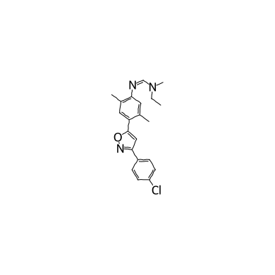 CCN(C)/C=N\c1cc(C)c(-c2cc(-c3ccc(Cl)cc3)no2)cc1C